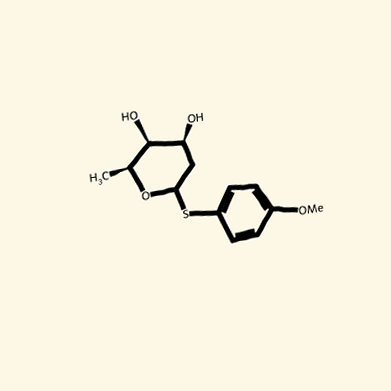 COc1ccc(SC2C[C@H](O)[C@H](O)[C@H](C)O2)cc1